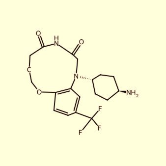 N[C@H]1CC[C@H](N2CC(=O)NC(=O)CCCOc3ccc(C(F)(F)F)cc32)CC1